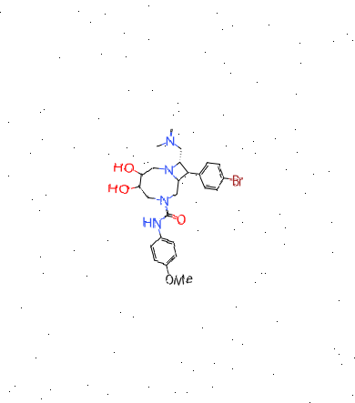 COc1ccc(NC(=O)N2CC(O)C(O)CN3C(C2)C(c2ccc(Br)cc2)[C@H]3CN(C)C)cc1